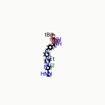 CC[C@H]1CN(c2ncc(C3=NCCN3)cc2Cl)CCN1C1CCN(Cc2ccc(C(C)(C)NS(=O)(=O)NC(=O)OC(C)(C)C)cc2)CC1